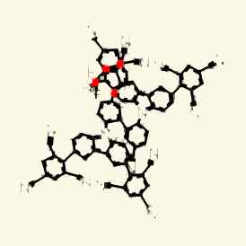 N#Cc1cc(C#N)c(-c2ccc3c(c2)c2cc(-c4c(C#N)cc(C#N)cc4C#N)ccc2n3-c2ccc(C#N)cc2-c2cc(-c3ccc(C#N)cc3C(F)(F)F)ccc2-n2c3ccc(-c4c(C#N)cc(C#N)cc4C#N)cc3c3cc(-c4c(C#N)cc(C#N)cc4C#N)ccc32)c(C#N)c1